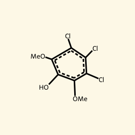 COc1c(O)c(OC)c(Cl)c(Cl)c1Cl